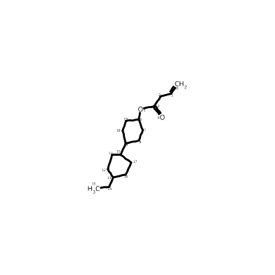 C=CCC(=O)OC1CCC(C2CCC(CC)CC2)CC1